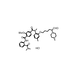 COc1cc(C(=O)N(C)c2ccc(C)cc2OCCCCC(C=O)N2CCN(C)CC2)ccc1C(=O)Nc1ccccc1C(=O)N(C)C.Cl